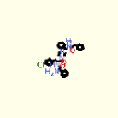 NC(C(=O)NC(Cc1ccc(Cl)cc1)C(=O)N1CCN(C2(CNC(=O)Cc3ccccc3)CCCCC2)CC1)c1ccccc1